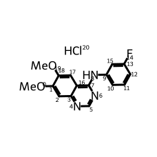 COc1cc2ncnc(Nc3cccc(F)c3)c2cc1OC.Cl